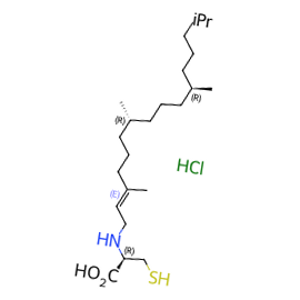 C/C(=C\CN[C@@H](CS)C(=O)O)CCC[C@H](C)CCC[C@H](C)CCCC(C)C.Cl